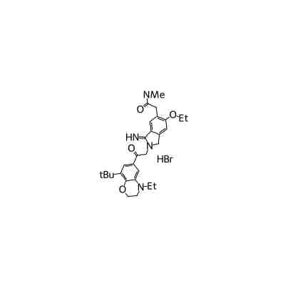 Br.CCOc1cc2c(cc1CC(=O)NC)C(=N)N(CC(=O)c1cc3c(c(C(C)(C)C)c1)OCCN3CC)C2